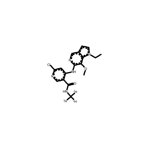 [2H]C([2H])([2H])NC(=O)c1cnc(Cl)cc1Nc1ncc2ccn(CC)c2c1OC